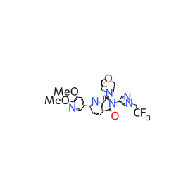 COc1cc(-c2ccc3c(n2)[C@H](N2CCOCC2)N(c2cnn(CC(F)(F)F)c2)C3=O)cnc1OC